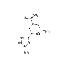 C=C(S)C1CC(C)NC(C2=CN(C)NN2)C1